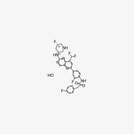 Cl.O=S(=O)(Cc1ccc(F)cc1)Nc1ccc(-c2cc(C(F)F)c3nc(N[C@@H]4CNC[C@@H](F)C4)ncc3n2)cc1F